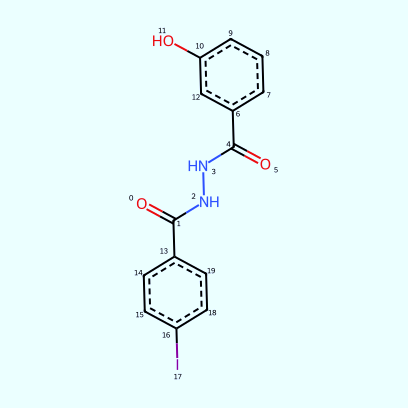 O=C(NNC(=O)c1cccc(O)c1)c1ccc(I)cc1